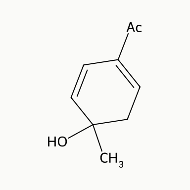 CC(=O)C1=CCC(C)(O)C=C1